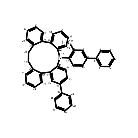 Cc1cc(-c2ccccc2)ccc1N1c2ccccc2-c2ccccc2CCc2ccccc2-c2cc(-c3ccccc3)ccc21